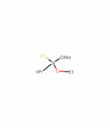 CCC[Si](S)(OC)OCC